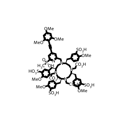 COc1cc(OC)c(C#Cc2cc(CN3C[C@H](Cc4ccc(OC)c(S(=O)(=O)O)c4)N(CC(=O)O)C[C@H](Cc4ccc(OC)c(S(=O)(=O)O)c4)N(CC(=O)O)C[C@H](Cc4ccc(OC)c(S(=O)(=O)O)c4)N(CC(=O)O)C[C@@H]3Cc3ccc(OC)c(S(=O)(=O)O)c3)nc(P(C)(=O)O)c2)c(OC)c1